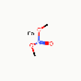 CO[N+](=O)OC.[Co]